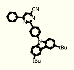 CC(C)(C)c1ccc2c(c1)c1cc(C(C)(C)C)ccc1n2-c1ccc(-c2nc(C#N)cc(-c3ccccc3)n2)cc1